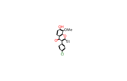 CCc1oc2c(OC)c(O)ccc2c(=O)c1-c1ccc(Cl)cc1